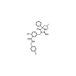 CC(C)CC1(c2ccccc2)NC(=N)N(Cc2ccc(Cl)c(C(=O)NCc3ccc(F)cc3)c2)C1=O